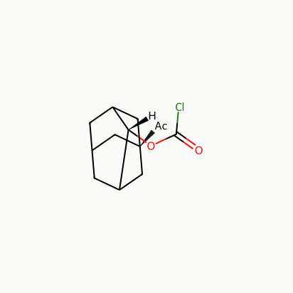 CC(=O)[C@]12CC3CC(C1)[C@@H](OC(=O)Cl)C(C3)C2